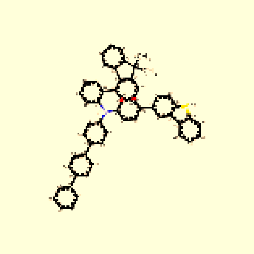 CC1(C)c2ccccc2-c2c(-c3ccccc3N(c3ccc(-c4ccc(-c5ccccc5)cc4)cc3)c3ccc(-c4ccc5sc6ccccc6c5c4)cc3)cccc21